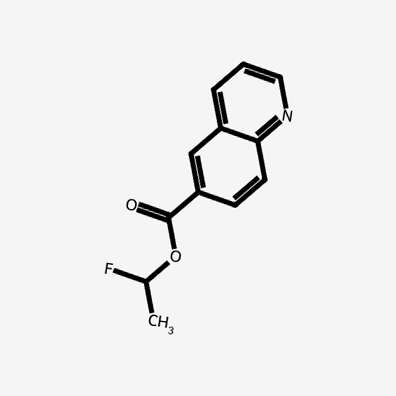 CC(F)OC(=O)c1ccc2ncccc2c1